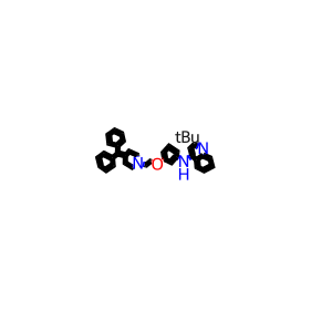 CC(C)(C)c1cc(Nc2cccc(OCCN3CCC(=C(c4ccccc4)c4ccccc4)CC3)c2)c2ccccc2n1